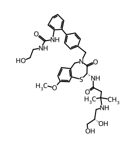 COc1ccc2c(c1)S[C@@H](NC(=O)CC(C)(C)NC[C@H](O)CO)C(=O)N(Cc1ccc(-c3ccccc3NC(=O)NCCO)cc1)C2